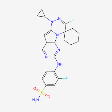 NS(=O)(=O)c1ccc(Nc2ncc3cc4n(c3n2)C2(CCCCC2)C(F)=NN4C2CC2)c(F)c1